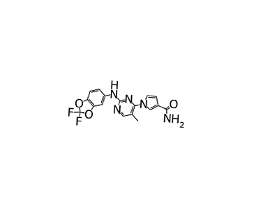 Cc1cnc(Nc2ccc3c(c2)OC(F)(F)O3)nc1-n1ccc(C(N)=O)c1